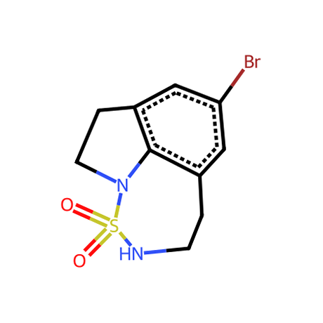 O=S1(=O)NCCc2cc(Br)cc3c2N1CC3